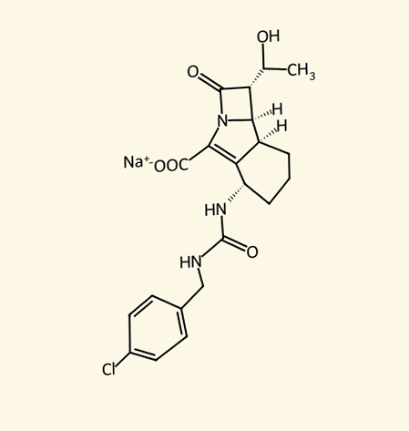 CC(O)[C@H]1C(=O)N2C(C(=O)[O-])=C3[C@@H](NC(=O)NCc4ccc(Cl)cc4)CCC[C@@H]3[C@H]12.[Na+]